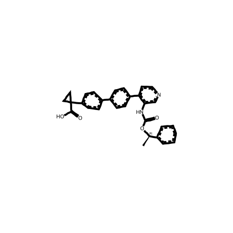 C[C@@H](OC(=O)Nc1cnccc1-c1ccc(-c2ccc(C3(C(=O)O)CC3)cc2)cc1)c1ccccc1